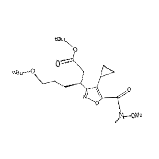 CCCCOCCC[C@@H](CC(=O)OC(C)(C)C)c1noc(C(=O)N(C)OC)c1C1CC1